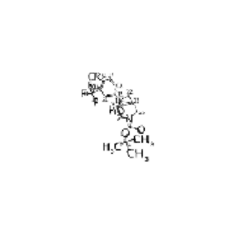 CC(C)(C)OC(=O)N1CCC2(c3ccc(Cl)c(C(F)(F)F)c3)CC2(CO)C1